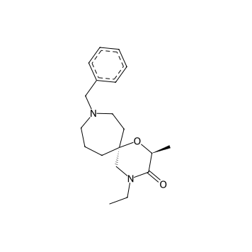 CCN1C[C@@]2(CCCN(Cc3ccccc3)CC2)O[C@@H](C)C1=O